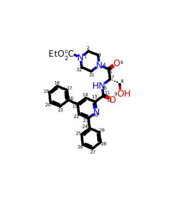 CCOC(=O)N1CCN(C(=O)[C@H](CO)NC(=O)c2cc(-c3ccccc3)cc(-c3ccccc3)n2)CC1